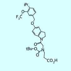 CC(C)c1ccc(COc2ccc3c(c2)CCN3C(=O)CN(CCC(=O)O)C(=O)OC(C)(C)C)cc1OC(F)(F)F